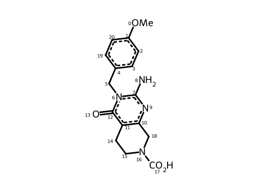 COc1ccc(Cn2c(N)nc3c(c2=O)CCN(C(=O)O)C3)cc1